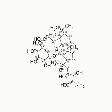 C=C(C)C(O)C(O)CC(C)(O)C1CCC2(C)C1C(O[C@@H]1O[C@H](C)[C@@H](O)[C@H](O)[C@H]1O)CC1C(C)(CCC(=O)O)C(C(=C)C)CCC12C